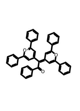 O=C(C(=C1C=C(c2ccccc2)OC(c2ccccc2)=C1)c1cc(-c2ccccc2)[o+]c(-c2ccccc2)c1)c1ccccc1